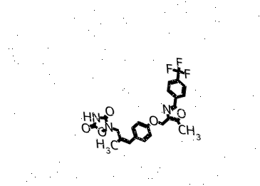 CC(=Cc1ccc(OCc2nc(-c3ccc(C(F)(F)F)cc3)oc2C)cc1)Cn1oc(=O)[nH]c1=O